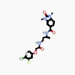 C=C(CCNC(=O)COc1ccc(Cl)c(F)c1)NC(=O)c1ccc2c(c1)n(C)c(=O)n2C